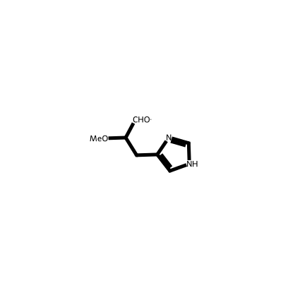 COC([C]=O)Cc1c[nH]cn1